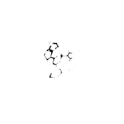 Cc1nn(C(C)C)c(C)c1-c1nc(-c2ccnc3[nH]ccc23)cc(N2CCOC[C@H]2C)n1